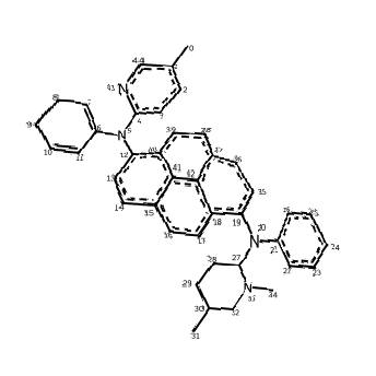 Cc1ccc(N(C2=CCCC=C2)c2ccc3ccc4c(N(c5ccccc5)C5CCC(C)CN5C)ccc5ccc2c3c54)nc1